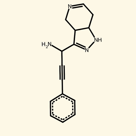 NC(C#Cc1ccccc1)C1=NNC2CC=NCC12